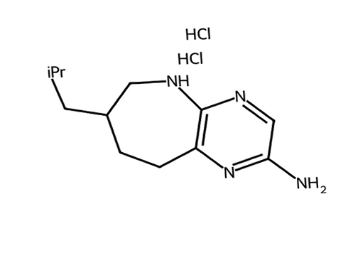 CC(C)CC1CCc2nc(N)cnc2NC1.Cl.Cl